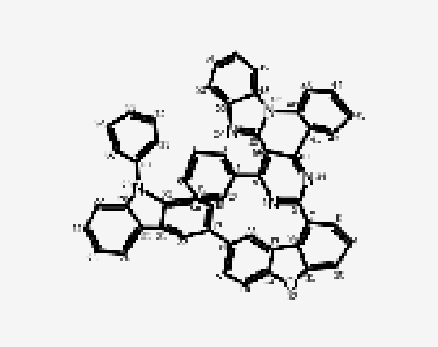 c1ccc(-c2nc(-c3cccc4oc5ccc(-c6ccc7c(c6)c6ccccc6n7-c6ccccc6)cc5c34)nc3c4ccccc4n4c5ccccc5nc4c23)cc1